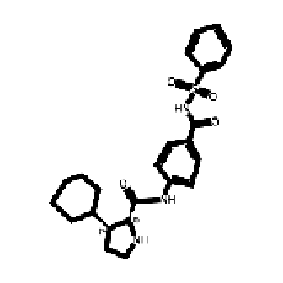 O=C(NS(=O)(=O)c1ccccc1)c1ccc(NC(=O)[C@H]2NCC[C@H]2C2CCCCC2)cc1